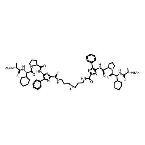 CN[C@@H](C)C(=O)N[C@H](C(=O)N1CCCC1C(=O)Nc1sc(C(=O)NCCCN(C)CCCNC(=O)c2nc(-c3ccccc3)c(NC(=O)C3CCCN3C(=O)[C@@H](NC(=O)[C@H](C)NC)C3CCCCC3)s2)nc1-c1ccccc1)C1CCCCC1